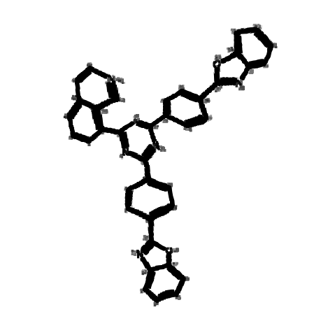 c1cc(-c2nc(-c3ccc(-c4nc5ccccc5o4)cc3)nc(-c3ccc(-c4nc5ccccc5o4)cc3)n2)c2cnccc2c1